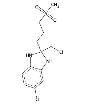 CS(=O)(=O)CCCC1(CCl)Nc2ccc(Cl)cc2N1